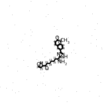 Cn1c(=O)ccc2cc(-c3c[nH]c(C(N)CCCCCC(=O)c4ccon4)n3)ccc21